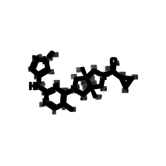 Cc1cnc(Nc2cnn(C)c2)nc1N1C[C@]2(C)CN(C(=O)C3CC3)C[C@]2(C)C1